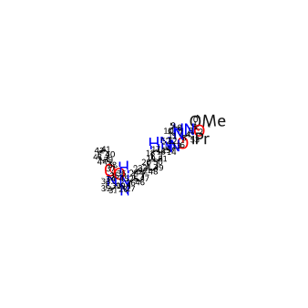 COC(=O)N[C@H](C(=O)N1CCC[C@H]1c1ncc(-c2ccc3cc(-c4ccc(-c5cnc([C@@H]6CCCN6C(=O)OCc6ccccc6)[nH]5)cc4)ccc3c2)[nH]1)C(C)C